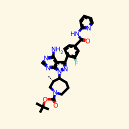 C[C@H]1CN(C(=O)OC(C)(C)C)CCCC1n1nc(-c2ccc(C(=O)Nc3ccccn3)cc2F)c2c(N)ncnc21